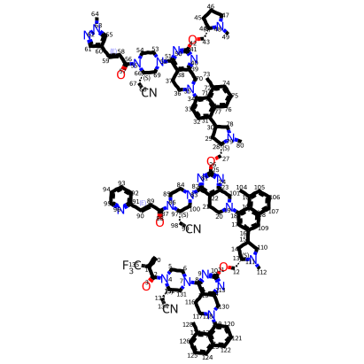 C=C(C(=O)N1CCN(c2nc(OC[C@@H]3CC(c4cc(N5CCc6c(nc(OC[C@@H]7CC(c8ccc(N9CCc%10c(nc(OC[C@@H]%11CCCN%11C)nc%10N%10CCN(C(=O)/C=C/c%11cnn(C)c%11)[C@@H](CC#N)C%10)C9)c9c(C)cccc89)CN7C)nc6N6CCN(C(=O)/C=C/c7ccccn7)[C@@H](CC#N)C6)C5)c5c(C)cccc5c4)CN3C)nc3c2CCN(c2cccc4cccc(C)c24)C3)C[C@@H]1CC#N)C(F)(F)F